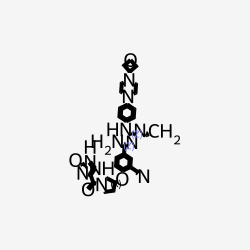 C=C/N=C(\N=C(/N)c1ccc(O[C@@H]2CCN(C(=O)c3nc(=O)[nH][nH]3)C2)c(C#N)c1)Nc1ccc(N2CCN(C3COC3)CC2)cc1